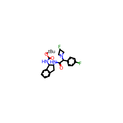 CC(C)(C)OC(=O)NC1c2ccccc2C[C@@H]1NC(=O)C(c1ccc(F)cc1)N1CC(F)C1